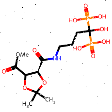 COC(=O)C1OC(C)(C)O[C@@H]1C(=O)NCCCC(O)(P(=O)(O)O)P(=O)(O)O